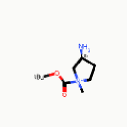 CC(C)(C)OC(=O)[N+]1(C)CC[C@H](N)C1